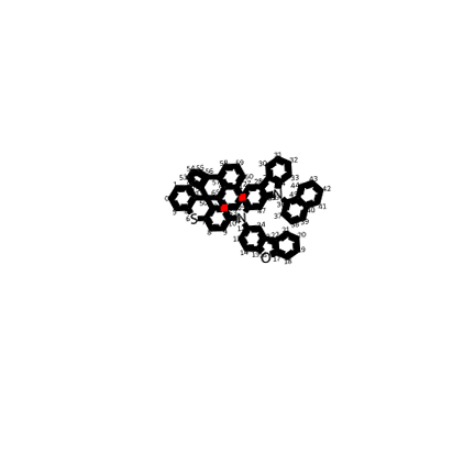 c1ccc2c(c1)Sc1ccc(N(c3ccc4oc5ccccc5c4c3)c3ccc4c5ccccc5n(-c5cccc6ccccc56)c4c3)cc1C21c2ccccc2-c2cccc3cccc1c23